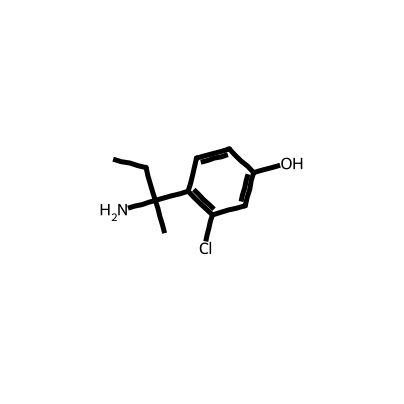 CCC(C)(N)c1ccc(O)cc1Cl